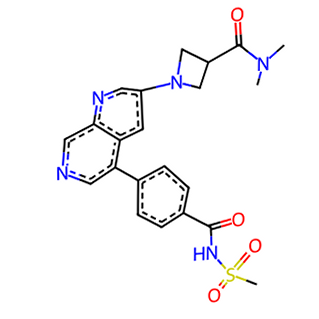 CN(C)C(=O)C1CN(c2cnc3cncc(-c4ccc(C(=O)NS(C)(=O)=O)cc4)c3c2)C1